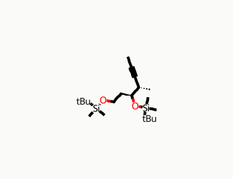 CC#C[C@H](C)[C@H](CCO[Si](C)(C)C(C)(C)C)O[Si](C)(C)C(C)(C)C